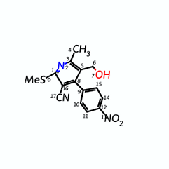 CSc1nc(C)c(CO)c(-c2ccc([N+](=O)[O-])cc2)c1C#N